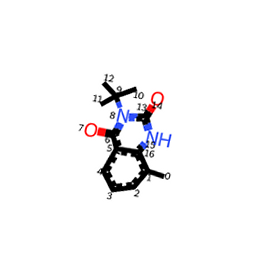 Cc1cccc2c(=O)n(C(C)(C)C)c(=O)[nH]c12